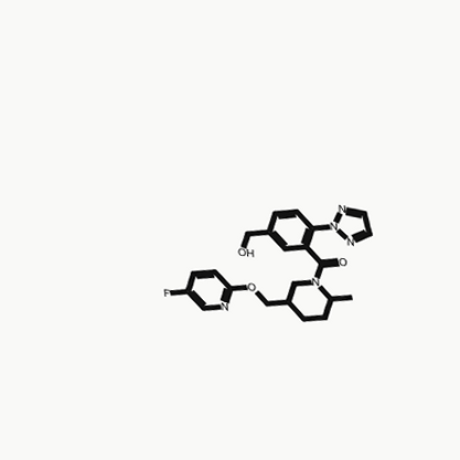 CC1CCC(COc2ccc(F)cn2)CN1C(=O)c1cc(CO)ccc1-n1nccn1